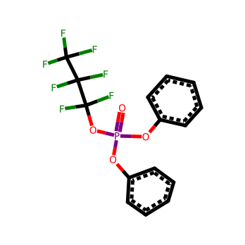 O=P(Oc1ccccc1)(Oc1ccccc1)OC(F)(F)C(F)(F)C(F)(F)F